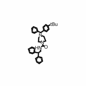 CC(C)(C)c1ccc(C(c2ccccc2)N2CCN(C(=O)NCC(c3ccccc3)c3ccccc3)CC2)cc1